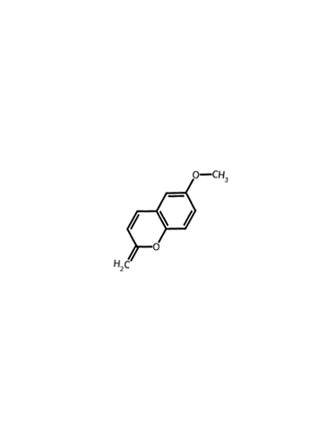 C=C1C=Cc2cc(OC)ccc2O1